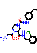 CCc1ccc(NC(=O)N2CCN(C(=O)CN)C(C(=O)NCc3ccccc3Cl)C2)cc1